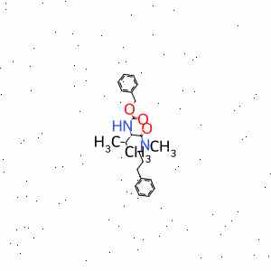 CC(C)C(NC(=O)OCc1ccccc1)C(=O)N(C)CCCc1ccccc1